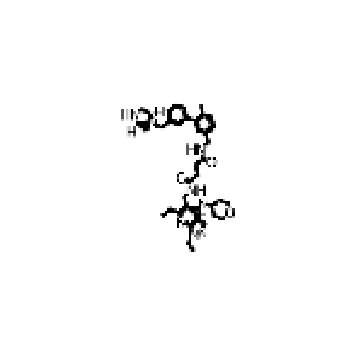 CCc1nc2c(cnn2CC)c(NC2CCOCC2)c1CNC(=O)CCC(=O)NCc1ccc(C)c(-c2cccc(CN3C[C@H]4C[C@@H]3CN4)c2)c1